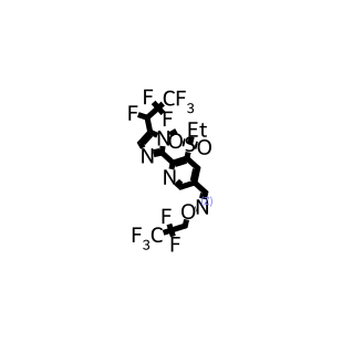 CCS(=O)(=O)c1cc(/C=N\OCC(F)(F)C(F)(F)F)cnc1-c1ncc(C(F)C(F)(F)C(F)(F)F)n1C